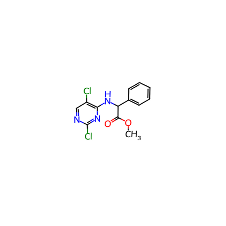 COC(=O)C(Nc1nc(Cl)ncc1Cl)c1ccccc1